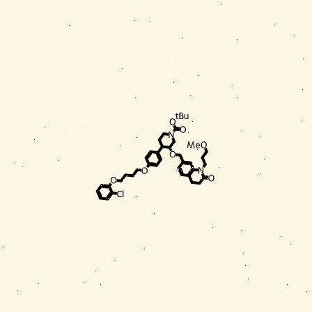 COCCCN1C(=O)CCc2ccc(COC3CN(C(=O)OC(C)(C)C)CCC3c3ccc(OCCCCOc4ccccc4Cl)cc3)cc21